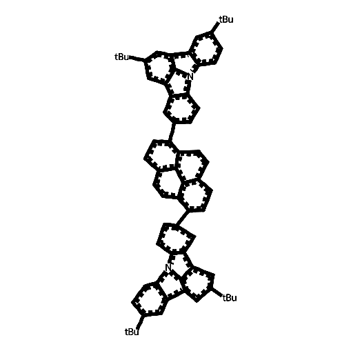 CC(C)(C)c1ccc2c(c1)c1cc(C(C)(C)C)cc3c4cc(-c5ccc6ccc7c(-c8ccc9c(c8)c8cc(C(C)(C)C)cc%10c%11cc(C(C)(C)C)ccc%11n9c8%10)ccc8ccc5c6c87)ccc4n2c31